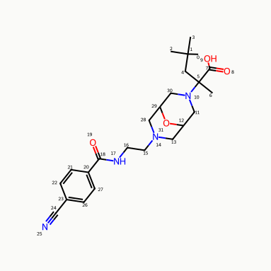 CC(C)(C)CC(C)(C(=O)O)N1CC2CN(CCNC(=O)c3ccc(C#N)cc3)CC(C1)O2